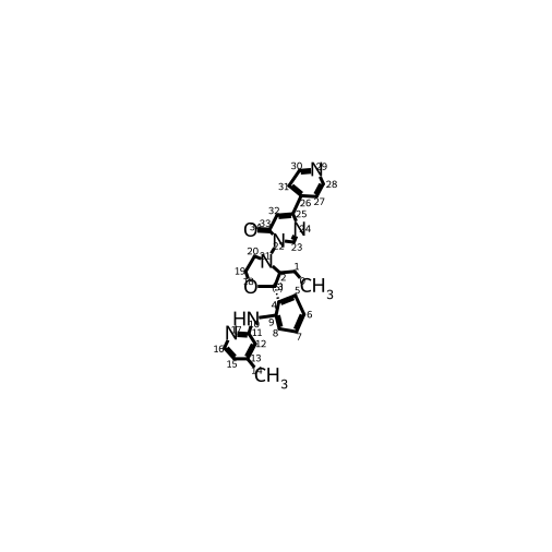 CCC1[C@H](c2ccccc2Nc2cc(C)ccn2)OCCN1n1cnc(-c2ccncc2)cc1=O